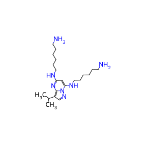 CC(C)c1cnn2c(NCCCCCCN)cc(NCCCCCCN)nc12